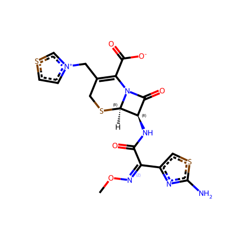 CO/N=C(\C(=O)N[C@@H]1C(=O)N2C(C(=O)[O-])=C(C[n+]3ccsc3)CS[C@H]12)c1csc(N)n1